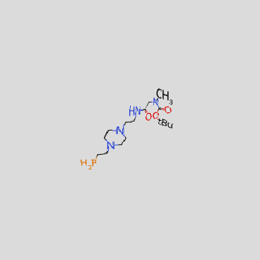 CN(CC(=O)NCCN1CCN(CCP)CC1)C(=O)OC(C)(C)C